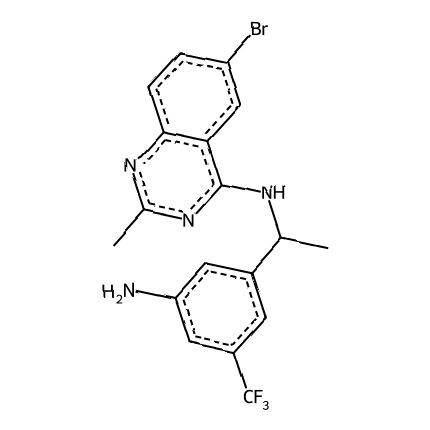 Cc1nc(NC(C)c2cc(N)cc(C(F)(F)F)c2)c2cc(Br)ccc2n1